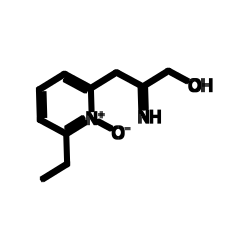 CCc1cccc(CC(=N)CO)[n+]1[O-]